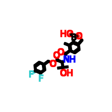 Cc1c(C(=O)NC(C(=O)OCc2ccc(F)c(F)c2)C(C)(C)O)ccc2c1B(O)OC2